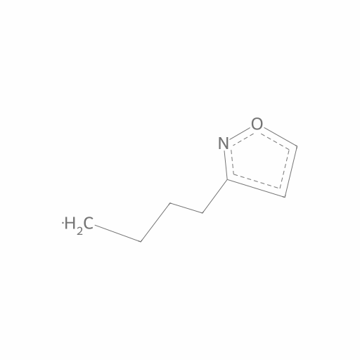 [CH2]CCCc1ccon1